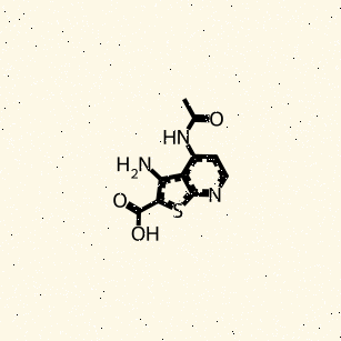 CC(=O)Nc1ccnc2sc(C(=O)O)c(N)c12